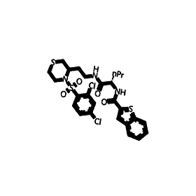 CCC[C@H](NC(=O)c1cc2ccccc2s1)C(=O)NCCC1CSCCN1S(=O)(=O)c1ccc(Cl)cc1Cl